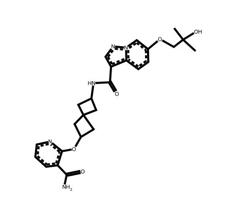 CC(C)(O)COc1ccc2c(C(=O)NC3CC4(C3)CC(Oc3ncccc3C(N)=O)C4)cnn2c1